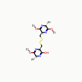 CCOC1=N[C@H](C(C)C)C(OCC)=N[C@H]1CSSC[C@@H]1N=C(OCC)[C@@H](C(C)C)N=C1O